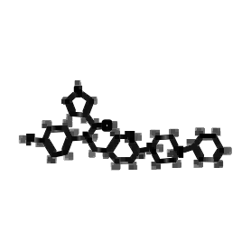 O=C(c1ccsc1)N(Cc1ccc(N2CCN(c3ccccc3)CC2)nc1)c1ccc(F)cc1